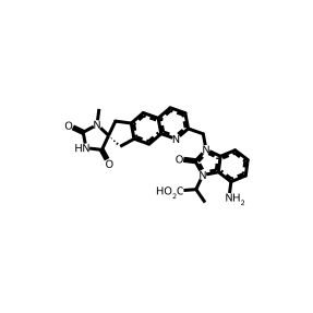 CC(C(=O)O)n1c(=O)n(Cc2ccc3cc4c(cc3n2)C[C@]2(C4)C(=O)NC(=O)N2C)c2cccc(N)c21